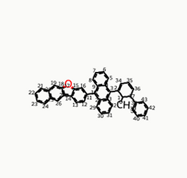 CC1C(c2c3ccccc3c(-c3ccc4c(c3)oc3cc5ccccc5cc34)c3ccccc23)=CC=CC1c1ccccc1